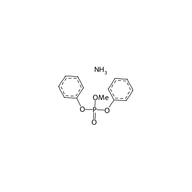 COP(=O)(Oc1ccccc1)Oc1ccccc1.N